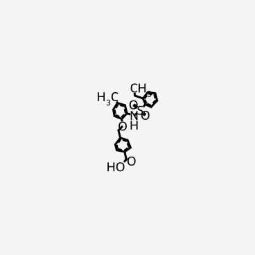 CCc1ccccc1S(=O)(=O)Nc1cc(C)ccc1OCc1ccc(C(=O)O)cc1